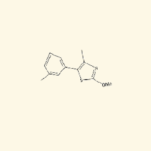 COc1nc(C)c(-c2cccc(C)c2)s1